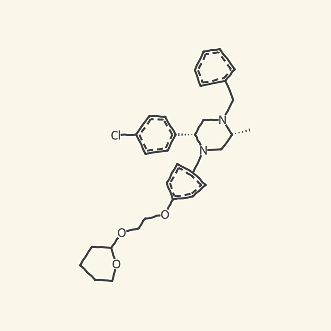 C[C@@H]1CN(c2ccc(OCCOC3CCCCO3)cc2)[C@H](c2ccc(Cl)cc2)CN1Cc1ccccc1